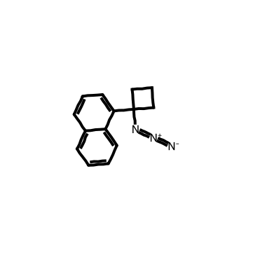 [N-]=[N+]=NC1(c2cccc3ccccc23)CCC1